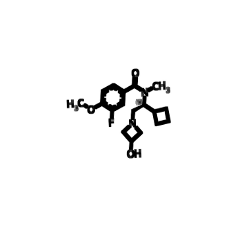 COc1ccc(C(=O)N(C)[C@H](CN2CC(O)C2)C2CCC2)cc1F